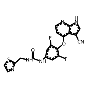 N#Cc1c[nH]c2nccc(Oc3c(F)cc(NC(=O)NCc4nccs4)cc3F)c12